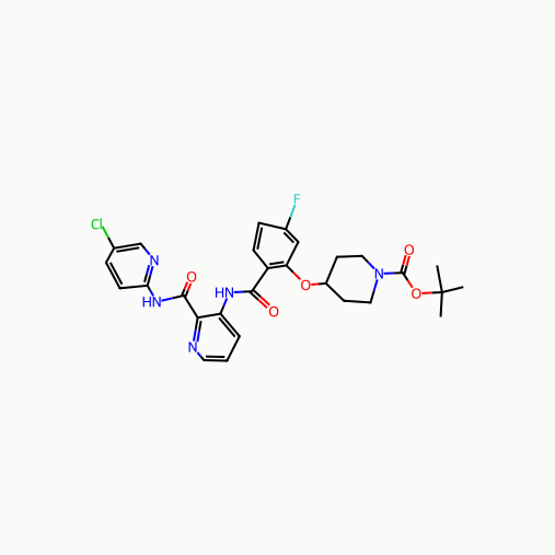 CC(C)(C)OC(=O)N1CCC(Oc2cc(F)ccc2C(=O)Nc2cccnc2C(=O)Nc2ccc(Cl)cn2)CC1